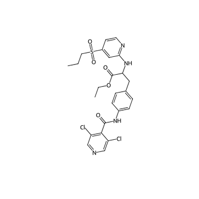 CCCS(=O)(=O)c1ccnc(NC(Cc2ccc(NC(=O)c3c(Cl)cncc3Cl)cc2)C(=O)OCC)c1